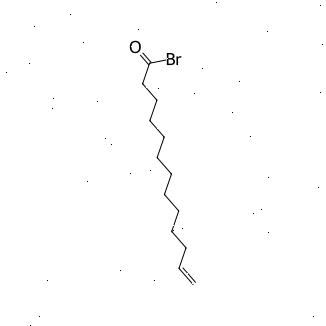 C=CCCCCCCCCCCC(=O)Br